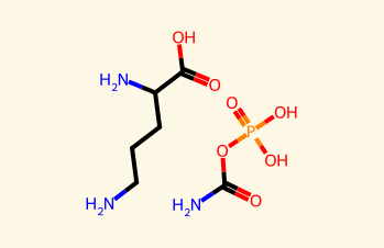 NC(=O)OP(=O)(O)O.NCCCC(N)C(=O)O